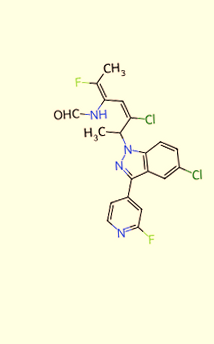 C/C(F)=C(\C=C(\Cl)C(C)n1nc(-c2ccnc(F)c2)c2cc(Cl)ccc21)NC=O